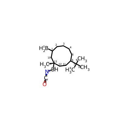 BC1CCCCC(C(C)(C)C)CCC(C)(BN=C=O)C1